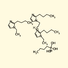 CCCC[PH](O)(O)O.CCCCc1nccn1CC.CCCCc1nccn1CC.CCCCc1nccn1CC